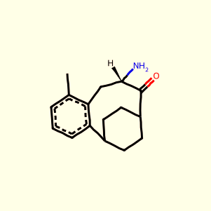 Cc1cccc2c1C[C@H](N)C(=O)C1CCC2CC1